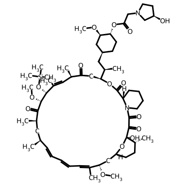 CO[C@H]1C[C@@H]2CC[C@@H](C)[C@@](O)(O2)C(=O)C(=O)N2CCCC[C@H]2C(=O)O[C@H]([C@H](C)C[C@@H]2CC[C@@H](OC(=O)CN3CC[C@@H](O)C3)[C@H](OC)C2)CC(=O)[C@H](C)/C=C(\C)[C@@H](O[Si](C)(C)C)[C@@H](OC)C(=O)[C@H](C)C[C@H](C)/C=C/C=C/C=C/1C